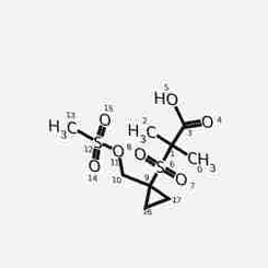 CC(C)(C(=O)O)S(=O)(=O)C1(COS(C)(=O)=O)CC1